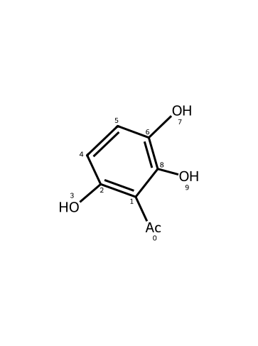 CC(=O)c1c(O)ccc(O)c1O